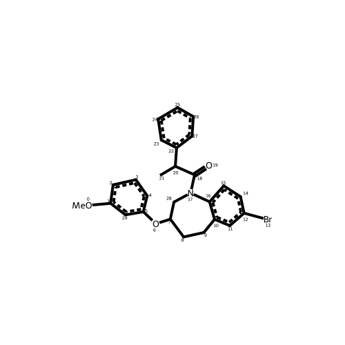 COc1cccc(OC2CCc3cc(Br)ccc3N(C(=O)C(C)c3ccccc3)C2)c1